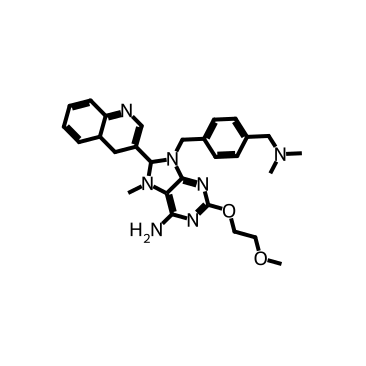 COCCOc1nc(N)c2c(n1)N(Cc1ccc(CN(C)C)cc1)C(C1=CN=C3C=CC=CC3C1)N2C